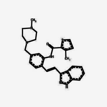 Cc1ccsc1C(=O)Nc1cc(CN2CCN(C)CC2)ccc1/C=C/c1n[nH]c2ccccc12